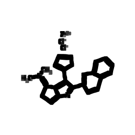 C[Si](C)=C1CC=C2N=C(c3ccc4ccccc4c3)C(C3=CC=CC3)=C21.[Cl-].[Cl-].[Zr+2]